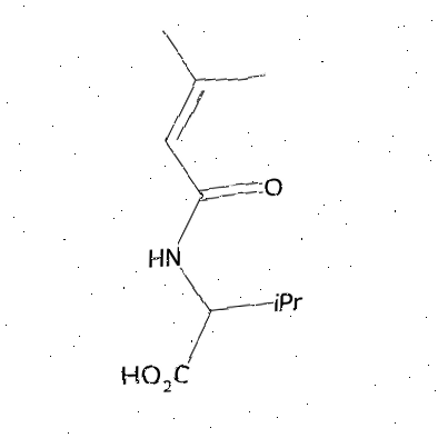 CC(C)=CC(=O)NC(C(=O)O)C(C)C